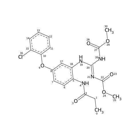 CCC(=O)Nc1ccc(Oc2ccccc2Cl)cc1NC(=NC(=O)OC)NC(=O)OC